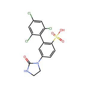 O=C1NCCN1c1ccc(S(=O)(=O)O)c(-c2c(Cl)cc(Cl)cc2Cl)c1